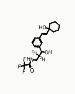 [2H]C([2H])(CNC(=O)C(F)(F)F)C(O)c1cccc(C=CC2(O)CCCCC2)c1